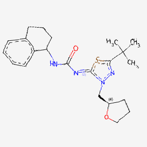 CC(C)(C)c1nn(C[C@H]2CCCO2)/c(=N/C(=O)NC2CCCc3ccccc32)s1